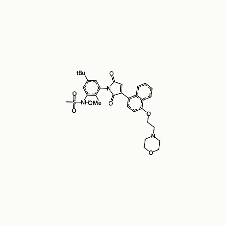 COc1c(NS(C)(=O)=O)cc(C(C)(C)C)cc1N1C(=O)C=C(c2ccc(OCCN3CCOCC3)c3ccccc23)C1=O